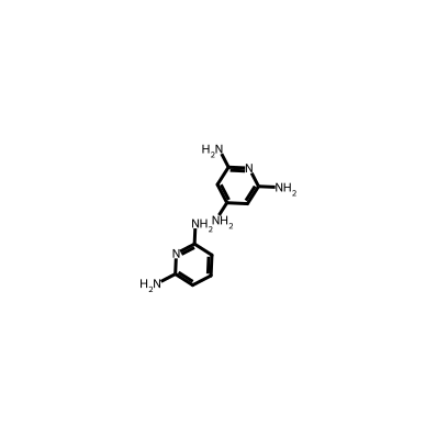 Nc1cc(N)nc(N)c1.Nc1cccc(N)n1